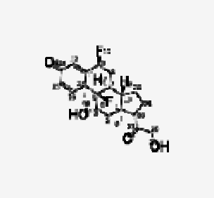 C[C@]12C[C@H](O)[C@@]3(F)[C@@H](C[C@H](F)C4=CC(=O)C=C[C@@]43C)[C@@H]1CC[C@@H]2C(=O)CO